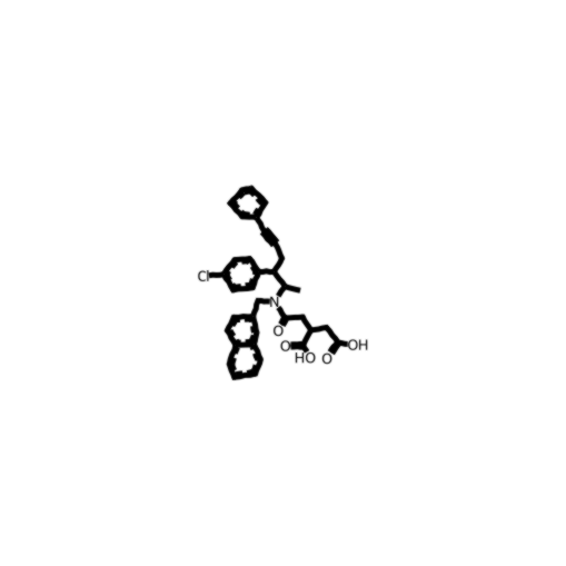 CC(C(CC#Cc1ccccc1)c1ccc(Cl)cc1)N(Cc1ccc2ccccc2c1)C(=O)CC(CC(=O)O)C(=O)O